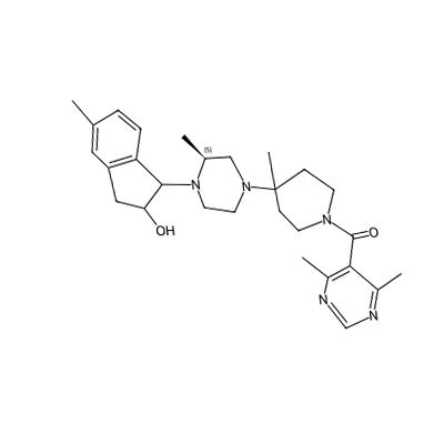 Cc1ccc2c(c1)CC(O)C2N1CCN(C2(C)CCN(C(=O)c3c(C)ncnc3C)CC2)C[C@@H]1C